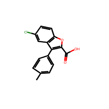 Cc1ccc(-c2c(C(=O)O)oc3ccc(Cl)cc23)cc1